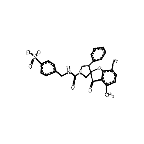 CCS(=O)(=O)c1ccc(CNC(=O)N2CC(c3ccccc3)C3(C2)Oc2c(C(C)C)ccc(C)c2C3=O)cc1